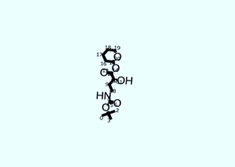 CC(C)(C)OC(=O)NCC[C@H](O)C(=O)OC1CCCCO1